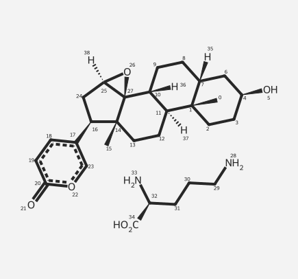 C[C@]12CC[C@H](O)C[C@H]1CC[C@@H]1[C@@H]2CC[C@]2(C)[C@@H](c3ccc(=O)oc3)C[C@H]3O[C@]132.NCCC[C@H](N)C(=O)O